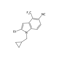 [C-]#[N+]c1ccc2c(cc(CC)n2CC2CC2)c1C(F)(F)F